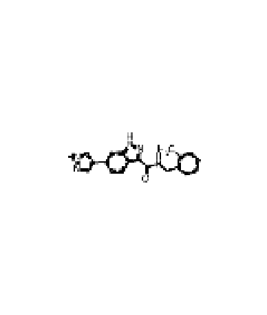 Cc1ccccc1CNC(=O)c1n[nH]c2cc(-c3cn[nH]c3)ccc12